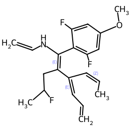 C=C/C=C(\C=C/C)C(/CC(C)F)=C(/NC=C)c1c(F)cc(OC)cc1F